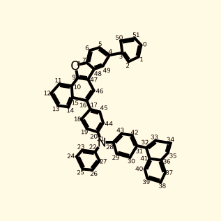 c1ccc(-c2ccc3oc4c5ccccc5c(-c5ccc(N(c6ccccc6)c6ccc(-c7cccc8ccccc78)cc6)cc5)cc4c3c2)cc1